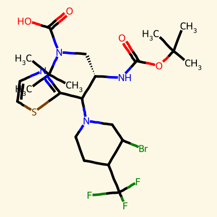 CC(C)(C)OC(=O)N[C@@H](CN(C(=O)O)C(C)(C)C)C(c1nccs1)N1CCC(C(F)(F)F)C(Br)C1